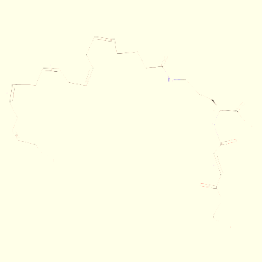 CC/C=C\C/C=C\C/C=C\C/C=C\C/C=C\CCCC(=O)NCCC[C@H](NC(=O)/C=C/C(=O)OCC)C(=O)O